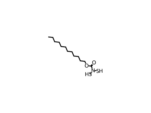 CCCCCCCCCCCCOC(=O)N(S)S